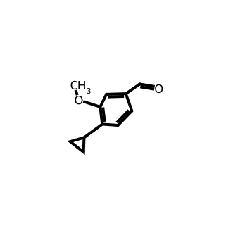 COc1cc(C=O)ccc1C1CC1